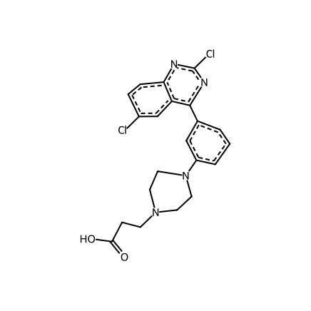 O=C(O)CCN1CCN(c2cccc(-c3nc(Cl)nc4ccc(Cl)cc34)c2)CC1